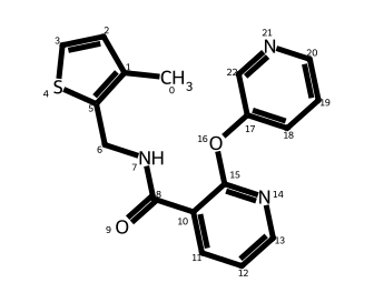 Cc1ccsc1CNC(=O)c1cccnc1Oc1cccnc1